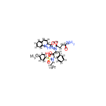 Cc1ccc(S(=O)(=O)N(CCC(C)C)C[C@@H](O)[C@H](Cc2ccccc2)N(NC(=O)c2ccc3ccccc3n2)C(=O)CCC(N)=O)cc1